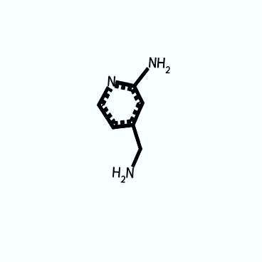 NCc1ccnc(N)c1